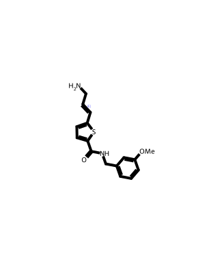 COc1cccc(CNC(=O)c2ccc(/C=C/CN)s2)c1